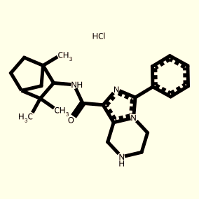 CC12CCC(C1)C(C)(C)C2NC(=O)c1nc(-c2ccccc2)n2c1CNCC2.Cl